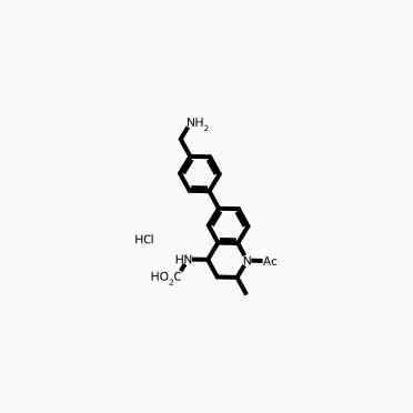 CC(=O)N1c2ccc(-c3ccc(CN)cc3)cc2C(NC(=O)O)CC1C.Cl